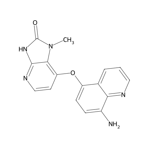 Cn1c(=O)[nH]c2nccc(Oc3ccc(N)c4ncccc34)c21